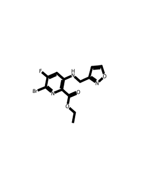 CCOC(=O)c1nc(Br)c(F)cc1NCc1ccon1